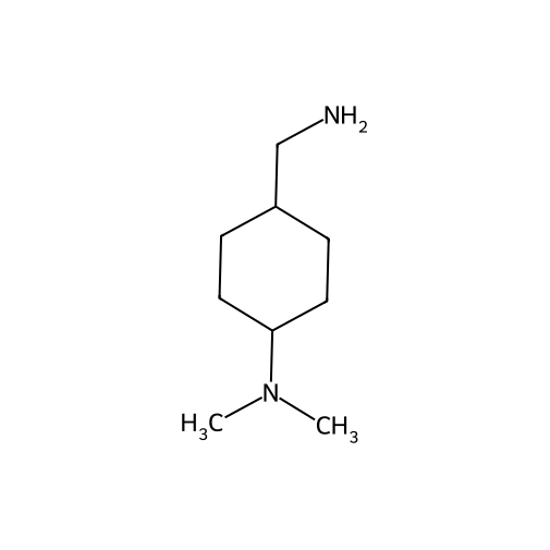 CN(C)C1CCC(CN)CC1